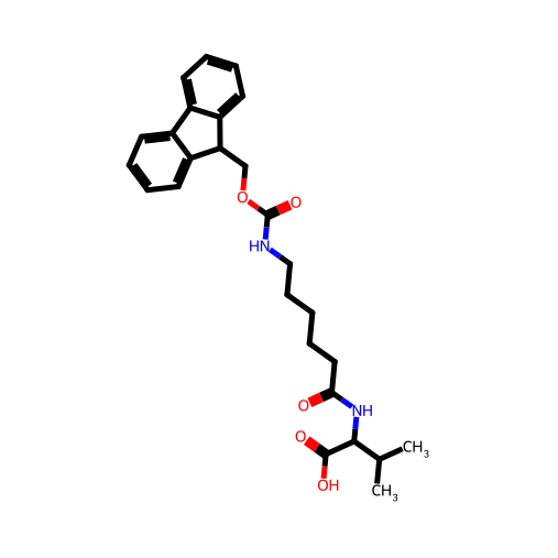 CC(C)C(NC(=O)CCCCCNC(=O)OCC1c2ccccc2-c2ccccc21)C(=O)O